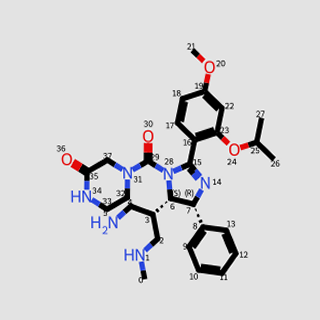 CNCC(CN)[C@H]1[C@@H](c2ccccc2)N=C(c2ccc(OC)cc2OC(C)C)N1C(=O)N1CCNC(=O)C1